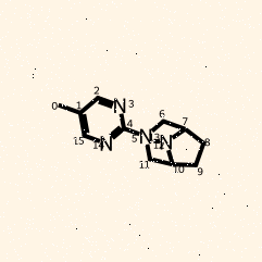 Cc1cnc(N2CC3CCC(C2)N3C)nc1